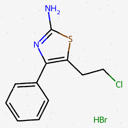 Br.Nc1nc(-c2ccccc2)c(CCCl)s1